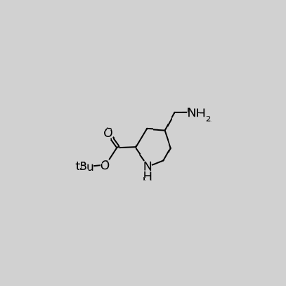 CC(C)(C)OC(=O)C1CC(CN)CCN1